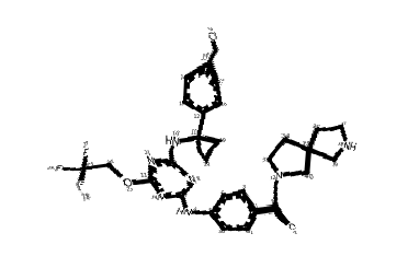 O=C(c1ccc(Nc2nc(NC3(c4ccc(Cl)cc4)CC3)nc(OCC(F)(F)F)n2)cc1)N1CCC2(CCNC2)C1